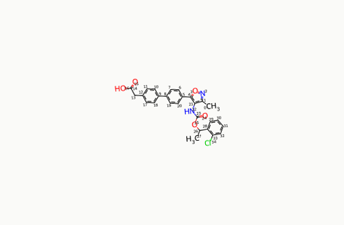 Cc1noc(-c2ccc(-c3ccc(CC(=O)O)cc3)cc2)c1NC(=O)OC(C)c1ccccc1Cl